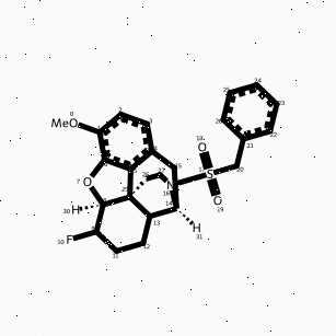 COc1ccc2c3c1O[C@@H]1C(F)CCC4[C@H](C2)N(S(=O)(=O)Cc2ccccc2)CC[C@]341